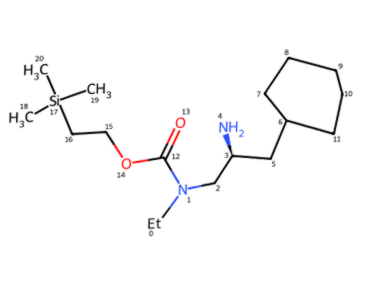 CCN(C[C@@H](N)CC1CCCCC1)C(=O)OCC[Si](C)(C)C